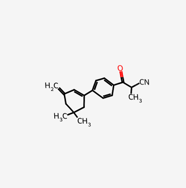 C=C1C=C(c2ccc(C(=O)C(C)C#N)cc2)CC(C)(C)C1